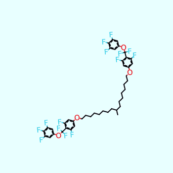 CC(CCCCCCCCOc1cc(F)c(C(F)(F)Oc2cc(F)c(F)c(F)c2)c(F)c1)CCCCCCCCOc1cc(F)c(C(F)(F)Oc2cc(F)c(F)c(F)c2)c(F)c1